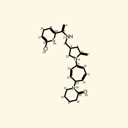 C=C(NCC1CC(=C)N(C2=CC=CC(N3CCCCC3=O)C=C2)C1)C1=CCC=C(Cl)S1